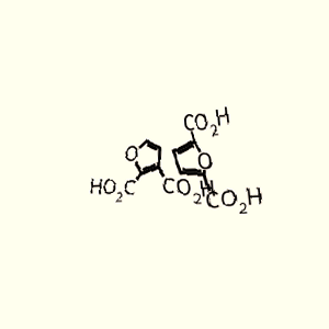 O=C(O)c1ccc(C(=O)O)o1.O=C(O)c1ccoc1C(=O)O